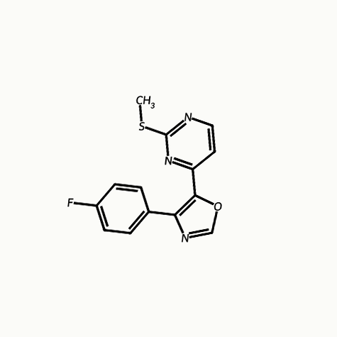 CSc1nccc(-c2ocnc2-c2ccc(F)cc2)n1